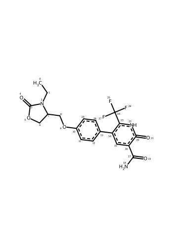 CCN1C(=O)OCC1COc1ccc(-c2cc(C(N)=O)c(=O)[nH]c2C(F)(F)F)cc1